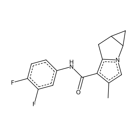 Cc1cn2c(c1C(=O)Nc1ccc(F)c(F)c1)CC1CC12